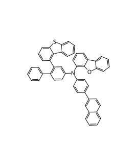 c1ccc(-c2ccc(N(c3ccc(-c4ccc5ccccc5c4)cc3)c3cccc4c3oc3ccccc34)cc2-c2cccc3sc4ccccc4c23)cc1